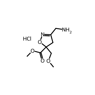 COCC1(C(=O)OC)CC(CN)=NO1.Cl